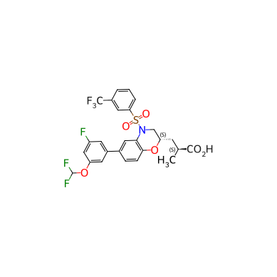 C[C@@H](C[C@H]1CN(S(=O)(=O)c2cccc(C(F)(F)F)c2)c2cc(-c3cc(F)cc(OC(F)F)c3)ccc2O1)C(=O)O